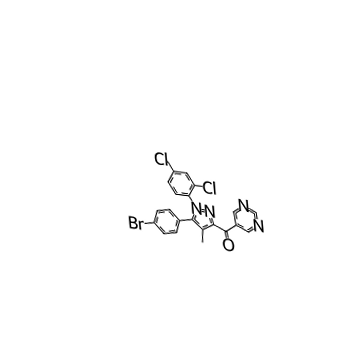 Cc1c(C(=O)c2cncnc2)nn(-c2ccc(Cl)cc2Cl)c1-c1ccc(Br)cc1